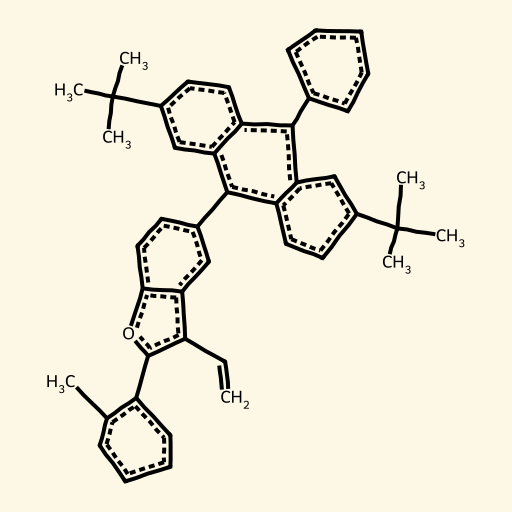 C=Cc1c(-c2ccccc2C)oc2ccc(-c3c4ccc(C(C)(C)C)cc4c(-c4ccccc4)c4ccc(C(C)(C)C)cc34)cc12